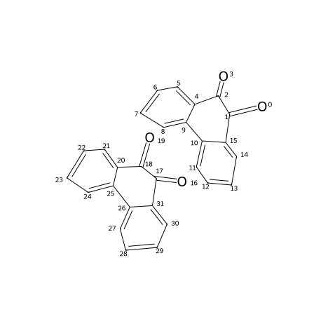 O=C1C(=O)c2ccccc2-c2ccccc21.O=C1C(=O)c2ccccc2-c2ccccc21